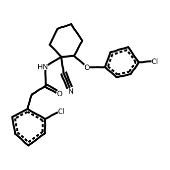 N#CC1(NC(=O)Cc2ccccc2Cl)CCCCC1Oc1ccc(Cl)cc1